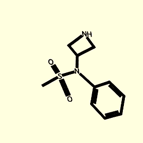 CS(=O)(=O)N(c1ccccc1)C1CNC1